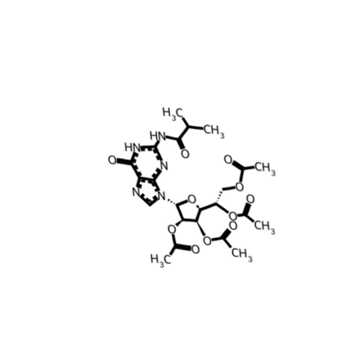 CC(=O)OC[C@H](OC(C)=O)[C@H]1O[C@@H](n2cnc3c(=O)[nH]c(NC(=O)C(C)C)nc32)[C@H](OC(C)=O)[C@@H]1OC(C)=O